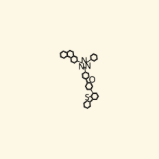 c1ccc(-c2nc(-c3ccc4c(ccc5ccccc54)c3)nc(-c3ccc4c(c3)oc3cc(-c5cccc6c5sc5ccccc56)ccc34)n2)cc1